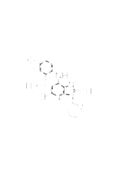 CSc1cc(Cl)ccc1Nc1cc(Cl)nc2c1nc(C)n2C1CCCCO1